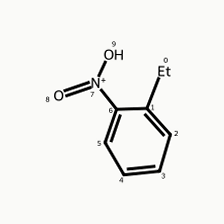 CCc1ccccc1[N+](=O)O